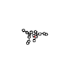 CC1(N(c2ccc(-c3ccccc3)cc2)c2ccc(-c3ccc4ccccc4c3)cc2)CC=CC=C1c1ccccc1-c1ccccc1N(c1ccc(-c2ccccc2)cc1)c1ccc(-c2ccc3ccccc3c2)cc1